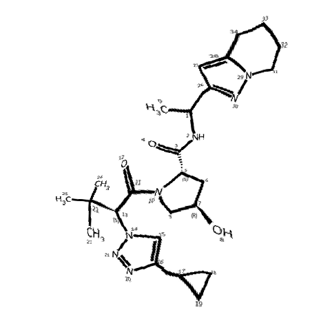 CC(NC(=O)[C@@H]1C[C@@H](O)CN1C(=O)[C@@H](n1cc(C2CC2)nn1)C(C)(C)C)c1cc2n(n1)CCCC2